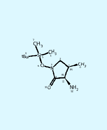 C[C@@H]1CN(O[Si](C)(C)C(C)(C)C)C(=O)[C@@H]1N